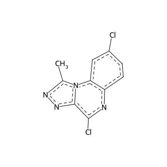 Cc1nnc2c(Cl)nc3ccc(Cl)cc3n12